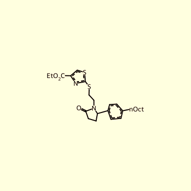 CCCCCCCCc1ccc(C2CCC(=O)N2CCSc2nc(C(=O)OCC)cs2)cc1